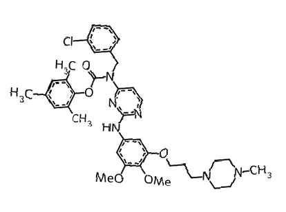 COc1cc(Nc2nccc(N(Cc3cccc(Cl)c3)C(=O)Oc3c(C)cc(C)cc3C)n2)cc(OCCCN2CCN(C)CC2)c1OC